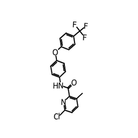 Cc1ccc(Cl)nc1C(=O)Nc1ccc(Oc2ccc(C(F)(F)F)cc2)cc1